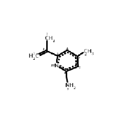 C=C(C)c1cc(C)cc(N)n1